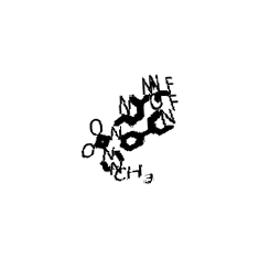 CN1CCN(c2c(N(Cc3ccc(-c4nnc(C(F)F)o4)cn3)c3cccc(-c4ccncc4)c3)c(=O)c2=O)CC1